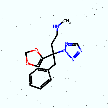 CNCCC(Cc1ccccc1)(C1=COCO1)n1ncnn1